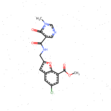 COC(=O)c1cc(Cl)cc2cc(CNC(=O)c3cncn(C)c3=O)oc12